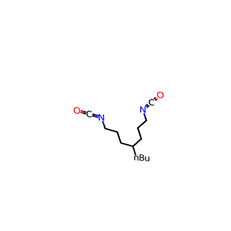 CCCCC(CCCN=C=O)CCCN=C=O